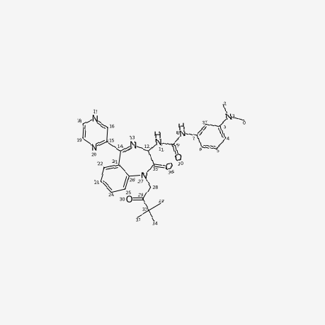 CN(C)c1cccc(NC(=O)NC2N=C(c3cnccn3)c3ccccc3N(CC(=O)C(C)(C)C)C2=O)c1